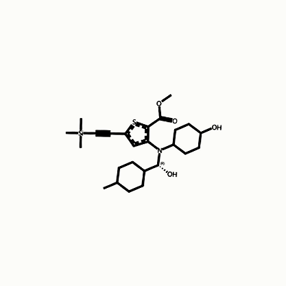 COC(=O)c1sc(C#C[Si](C)(C)C)cc1N(C1CCC(O)CC1)[C@H](O)C1CCC(C)CC1